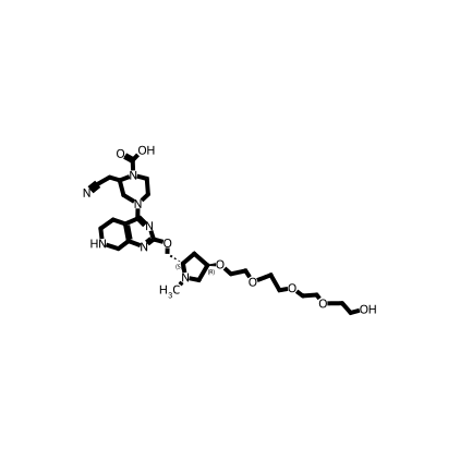 CN1C[C@H](OCCOCCOCCOCCO)C[C@H]1COc1nc2c(c(N3CCN(C(=O)O)C(CC#N)C3)n1)CCNC2